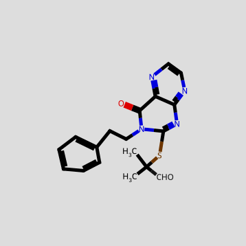 CC(C)(C=O)Sc1nc2nccnc2c(=O)n1CCc1ccccc1